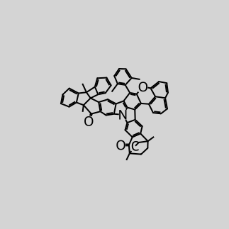 Cc1cccc(C)c1-c1c2oc3cccc4cccc(c43)c2c2c3cc4c(cc3n3c5cc6c(cc5c1c23)C12c3ccccc3C1(C)c1ccccc1C2(C)C6=O)C(=O)C1(C)CCC4(C)CC1